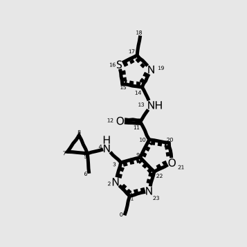 Cc1nc(NC2(C)CC2)c2c(C(=O)Nc3csc(C)n3)coc2n1